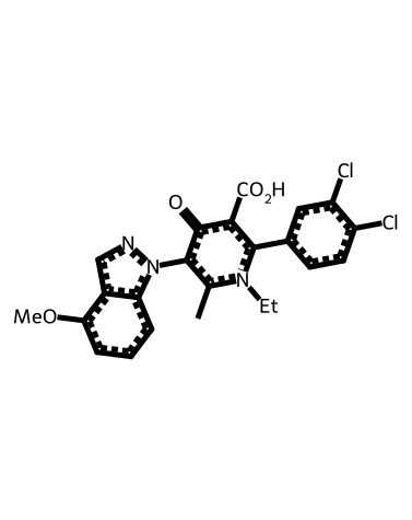 CCn1c(C)c(-n2ncc3c(OC)cccc32)c(=O)c(C(=O)O)c1-c1ccc(Cl)c(Cl)c1